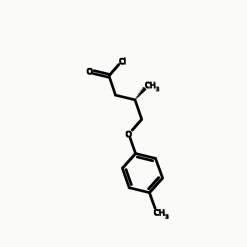 Cc1ccc(OC[C@@H](C)CC(=O)Cl)cc1